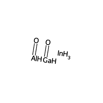 [InH3].[O]=[AlH].[O]=[GaH]